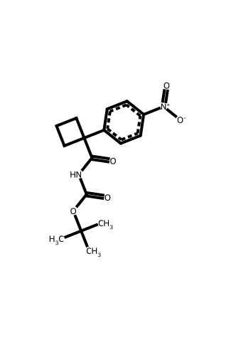 CC(C)(C)OC(=O)NC(=O)C1(c2ccc([N+](=O)[O-])cc2)CCC1